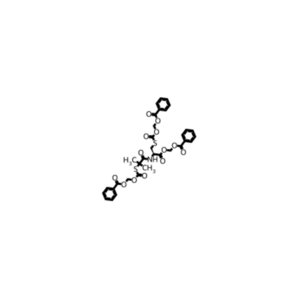 CC(C)(SC(=O)OCOC(=O)c1ccccc1)C(=O)N[C@@H](CSC(=O)OCOC(=O)c1ccccc1)C(=O)OCOC(=O)c1ccccc1